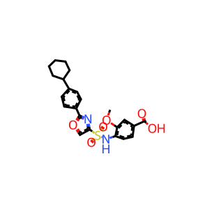 COc1cc(C(=O)O)ccc1NS(=O)(=O)c1coc(-c2ccc(C3CCCCC3)cc2)n1